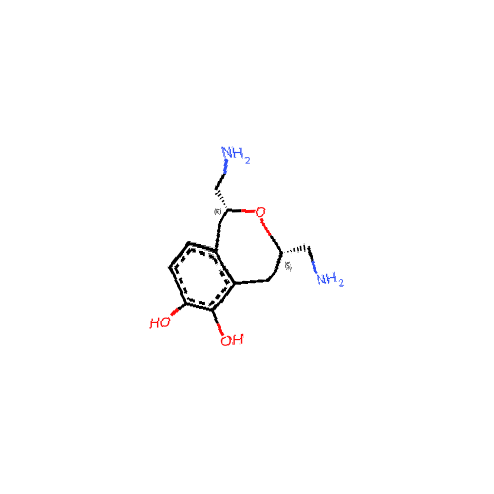 NC[C@@H]1Cc2c(ccc(O)c2O)[C@H](CN)O1